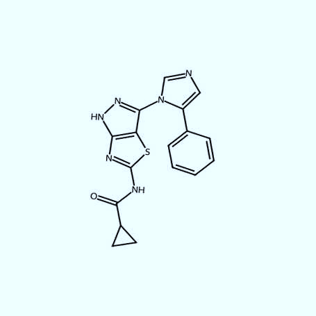 O=C(Nc1nc2[nH]nc(-n3cncc3-c3ccccc3)c2s1)C1CC1